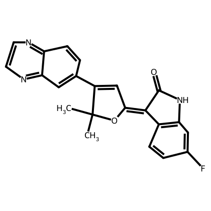 CC1(C)OC(=C2C(=O)Nc3cc(F)ccc32)C=C1c1ccc2nccnc2c1